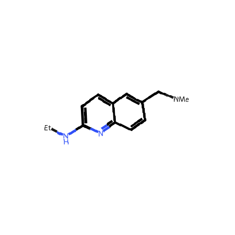 CCNc1ccc2cc(CNC)ccc2n1